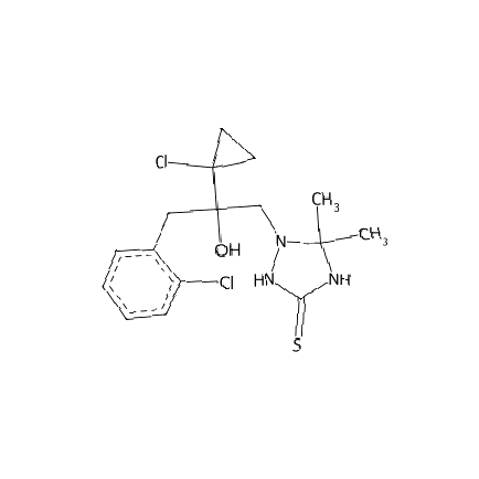 CC1(C)NC(=S)NN1CC(O)(Cc1ccccc1Cl)C1(Cl)CC1